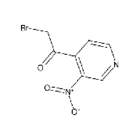 O=C(CBr)c1ccncc1[N+](=O)[O-]